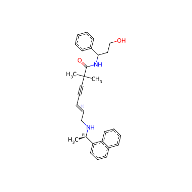 C[C@@H](NC/C=C/C#CC(C)(C)C(=O)NC(CCO)c1ccccc1)c1cccc2ccccc12